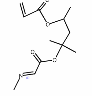 C=CC(=O)OC(C)CC(C)(C)OC(=O)/C=N/C